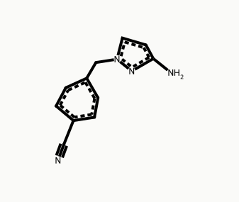 N#Cc1ccc(Cn2ccc(N)n2)cc1